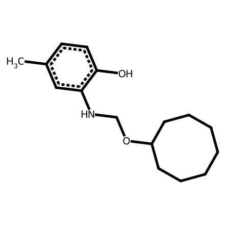 Cc1ccc(O)c(NCOC2CCCCCCC2)c1